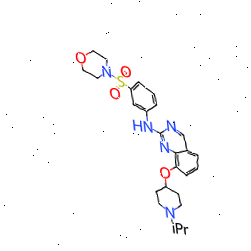 CC(C)N1CCC(Oc2cccc3cnc(Nc4cccc(S(=O)(=O)N5CCOCC5)c4)nc23)CC1